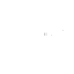 CC(C)CCc1ccccc1[SiH2]O